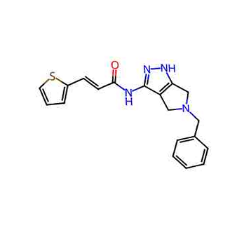 O=C(C=Cc1cccs1)Nc1n[nH]c2c1CN(Cc1ccccc1)C2